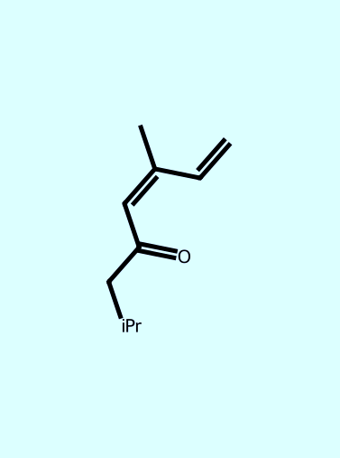 C=CC(C)=CC(=O)CC(C)C